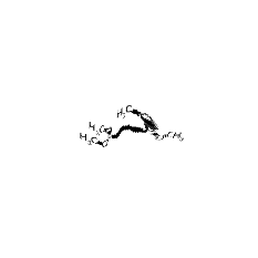 COP(CCCP(OC)OC)OC